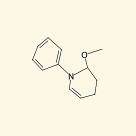 COC1CCC=CN1c1ccccc1